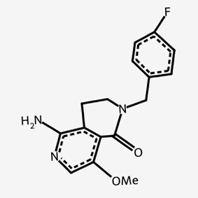 COc1cnc(N)c2c1C(=O)N(Cc1ccc(F)cc1)CC2